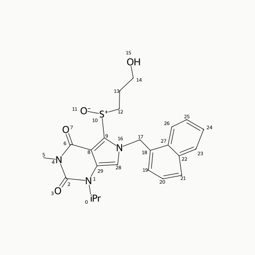 CC(C)n1c(=O)n(C)c(=O)c2c([S+]([O-])CCCO)n(Cc3cccc4ccccc34)cc21